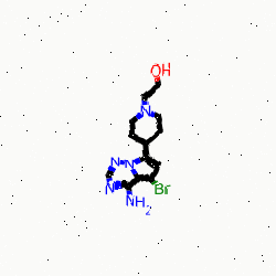 Nc1ncnn2c(C3CCN(CCO)CC3)cc(Br)c12